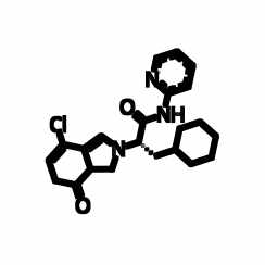 O=C1CC=C(Cl)C2=CN([C@@H](CC3CCCCC3)C(=O)Nc3ccccn3)CC12